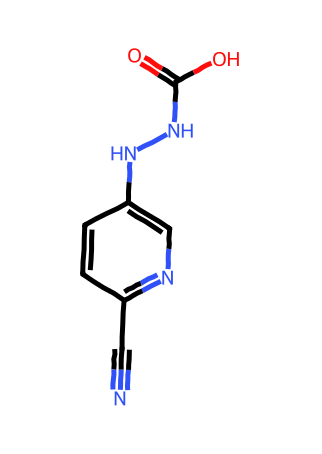 N#Cc1ccc(NNC(=O)O)cn1